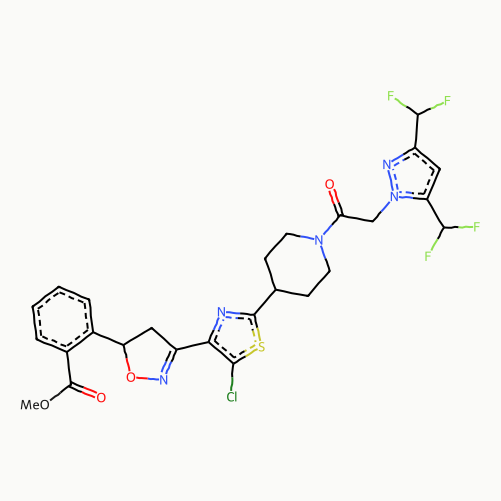 COC(=O)c1ccccc1C1CC(c2nc(C3CCN(C(=O)Cn4nc(C(F)F)cc4C(F)F)CC3)sc2Cl)=NO1